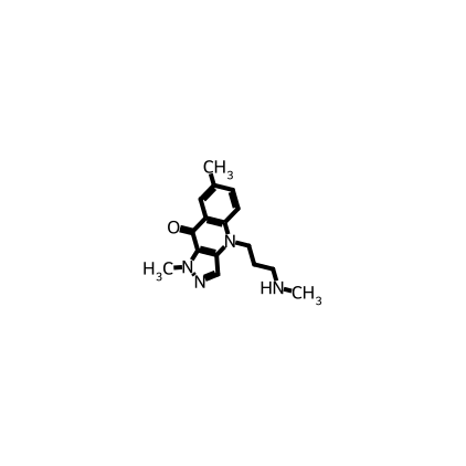 CNCCCn1c2ccc(C)cc2c(=O)c2c1cnn2C